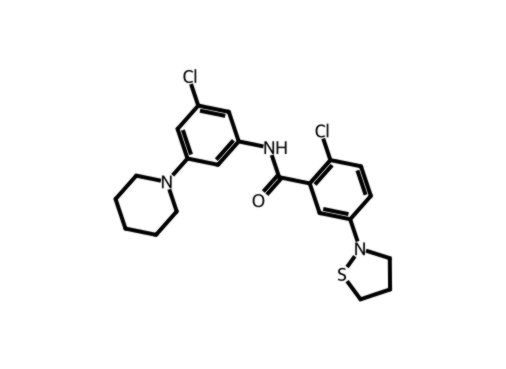 O=C(Nc1cc(Cl)cc(N2CCCCC2)c1)c1cc(N2CCCS2)ccc1Cl